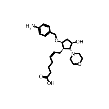 Nc1ccc(CO[C@H]2C[C@@H](O)[C@H](N3CCOCC3)[C@H]2C/C=C\CCCC(=O)O)cc1